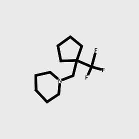 FC(F)(F)C1(CN2CC[CH]CC2)CCCC1